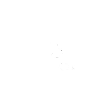 CC1C=C2NOC(c3cccc(N)c3)=CC(=O)C2=CC1C